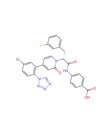 O=C(O)c1ccc(NC(=O)[C@@H](Cc2cccc(F)c2)n2ccc(-c3cc(Cl)ccc3-n3cnnn3)cc2=O)cc1